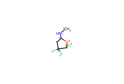 CNC1CC(F)(F)CO1.Cl